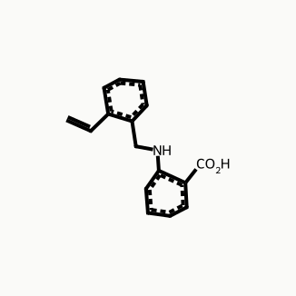 C=Cc1ccccc1CNc1ccccc1C(=O)O